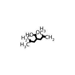 C=C(C)CC(CC(=C)C)C(=O)O